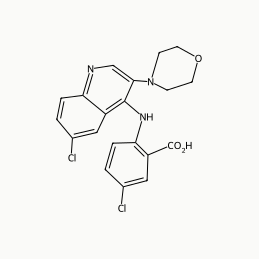 O=C(O)c1cc(Cl)ccc1Nc1c(N2CCOCC2)cnc2ccc(Cl)cc12